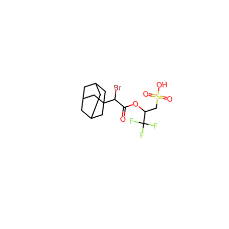 O=C(OC(CS(=O)(=O)O)C(F)(F)F)C(Br)C12CC3CC(CC(C3)C1)C2